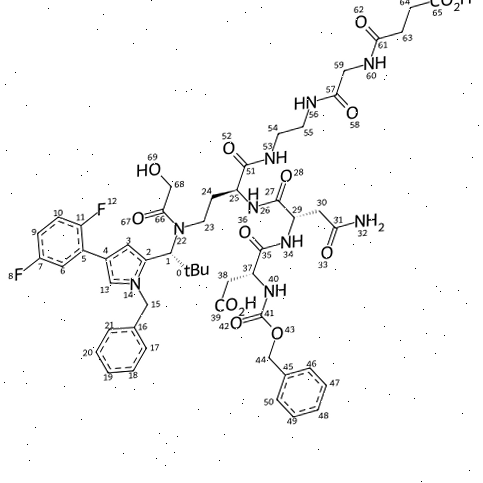 CC(C)(C)[C@H](c1cc(-c2cc(F)ccc2F)cn1Cc1ccccc1)N(CC[C@H](NC(=O)[C@H](CC(N)=O)NC(=O)[C@@H](CC(=O)O)NC(=O)OCc1ccccc1)C(=O)NCCNC(=O)CNC(=O)CCC(=O)O)C(=O)CO